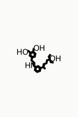 CCC(O)(CC)CCC=C(C)c1cccc(NCCc2ccc(CO)c(CO)c2)c1